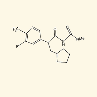 CNC(=O)NC(=O)C(CC1CCCC1)c1ccc(C(F)(F)F)c(F)c1